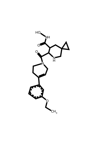 CCOc1cccc(C2=CCN(C(=O)C3NCC4(CC4)CC3C(=O)NO)CC2)c1